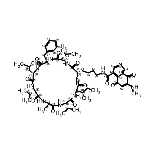 CC[C@@H](C)[C@H]1NC(=O)[C@H](C(C)C)NC(=O)[C@@H](C)NC(=O)[C@H](C(C)C)NC(=O)[C@@H](CC(C)C)NC(=O)[C@@H](Cc2ccccc2)NC(=O)[C@H](C(C)C)NC(=O)[C@H](CCCCNC(=O)c2cncc3c2C(=O)C=C(NC)C3=O)NC1=O